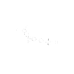 O=C(Nc1ccc(-c2ccc(C(=O)N3CCCC[C@H]3C(=O)O)cc2)cc1)Nc1cc(Cl)cc(Cl)c1